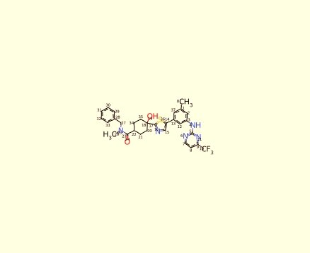 Cc1cc(Nc2nccc(C(F)(F)F)n2)cc(-c2cnc(C3(O)CCC(C(=O)N(C)Cc4ccccc4)CC3)s2)c1